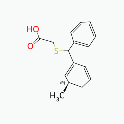 C[C@H]1C=C(C(SCC(=O)O)c2ccccc2)C=CC1